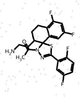 CC(=O)N1N=C(c2cc(F)ccc2F)SC12c1cc(F)cc(F)c1CCC2CCN